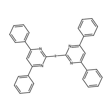 c1ccc(-c2cc(-c3ccccc3)n[c]([Ir][c]3nc(-c4ccccc4)cc(-c4ccccc4)n3)n2)cc1